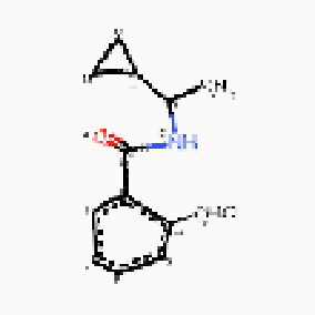 CC(NC(=O)c1ccccc1C=O)C1CC1